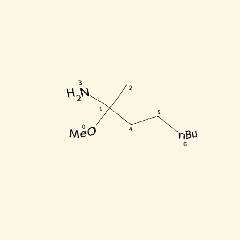 [CH2]OC(C)(N)CCCCCC